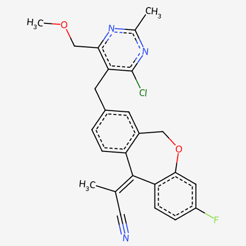 COCc1nc(C)nc(Cl)c1Cc1ccc2c(c1)COc1cc(F)ccc1/C2=C(/C)C#N